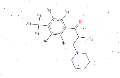 [2H]c1c([2H])c(C([2H])([2H])[2H])c([2H])c([2H])c1C(=O)C(C)CN1CCCCC1